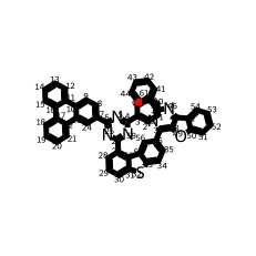 c1ccc(-c2nc(-c3ccc4c5ccccc5c5ccccc5c4c3)nc(-c3cccc4sc5ccc(-c6nc(-c7ccccc7)nc7c6oc6ccccc67)cc5c34)n2)cc1